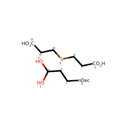 CCCCCCCCCCCCC(O)O.O=C(O)CCSCCC(=O)O